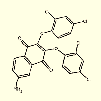 Nc1ccc2c(c1)C(=O)C(Oc1ccc(Cl)cc1Cl)=C(Oc1ccc(Cl)cc1Cl)C2=O